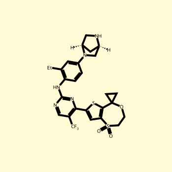 CCc1cc(N2C[C@H]3C[C@@H]2CN3)ccc1Nc1ncc(C(F)(F)F)c(-c2cc3c(s2)C2(CC2)OCCS3(=O)=O)n1